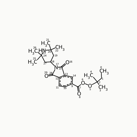 CCC(C)(C)OOC(=O)c1ccc2c(c1)C(=O)N(C1CC(C)(C)NC(C)(C)C1)C2=O